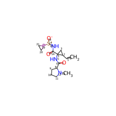 C=CC1CC1(NC(=O)C1CCCN1C)C(=O)N[S+]([O-])P1CC1